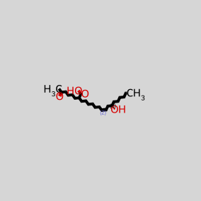 CCCCCC[C@@H](O)C/C=C\CCCCCCC(CCCCC(C)=O)C(=O)O